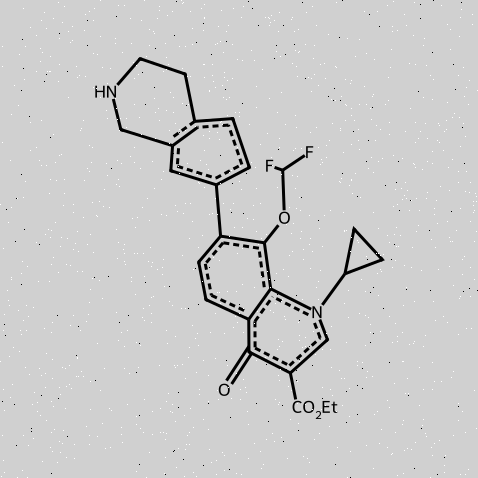 CCOC(=O)c1cn(C2CC2)c2c(OC(F)F)c(-c3ccc4c(c3)CNCC4)ccc2c1=O